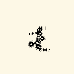 CCC[S+]([O-])N1CCNCC1CC[C@H]1CCCC1NC(=O)CC(c1ccccc1)c1ccc(OC)nc1